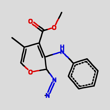 COC(=O)C1=C(Nc2ccccc2)C(N=[N])OC=C1C